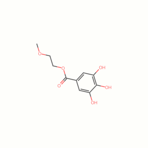 COCCOC(=O)c1cc(O)c(O)c(O)c1